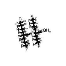 FC(F)(F)C(F)(F)C(F)(F)C(F)(F)C(F)(C(F)(F)F)C(F)(F)C(F)(F)C(F)(F)F.FC(F)(F)C(F)(F)C(F)(F)C(F)(F)C(F)(C(F)(F)F)C(F)(F)C(F)(F)C(F)(F)F.O